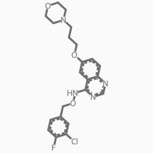 Fc1ccc(CONc2ncnc3ccc(OCCCN4CCOCC4)cc23)cc1Cl